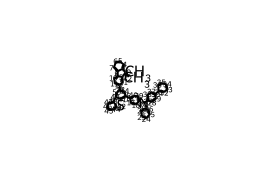 CC1(C)c2ccccc2-c2ccc(-c3cc(-c4ccc(N(c5ccccc5)c5ccc(-c6ccccc6)cc5)cc4)c4sc5ccccc5c4c3)cc21